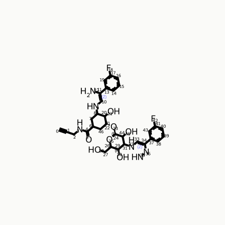 C#CCNC(=O)C1CC(N/C=C(\N)c2cccc(F)c2)C(O)[C@H](O[C@@H]2OC(CO)[C@H](O)C(N/C=C(\N=N)c3cccc(F)c3)C2O)C1